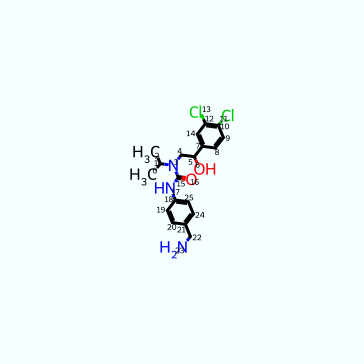 CC(C)N(CC(O)c1ccc(Cl)c(Cl)c1)C(=O)Nc1ccc(CN)cc1